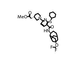 COC(=O)C[C@@H]1CCCN(c2ccc(C(=O)N[C@H]3CCC4CC5C[C@@](OC(F)F)(C4)CC53)c(SC3CCCCC3)n2)C1